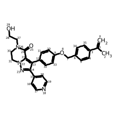 C=C(C)c1ccc(COc2ccc(-c3c(-c4ccncc4)nn4c3C(=O)N(CCO)CC4)cc2)cc1